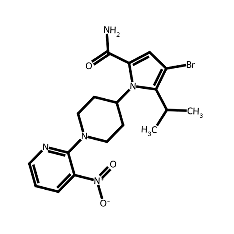 CC(C)c1c(Br)cc(C(N)=O)n1C1CCN(c2ncccc2[N+](=O)[O-])CC1